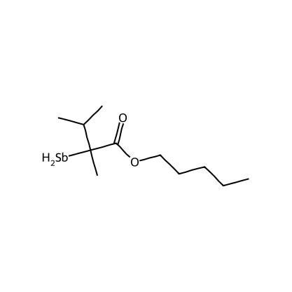 CCCCCOC(=O)[C](C)([SbH2])C(C)C